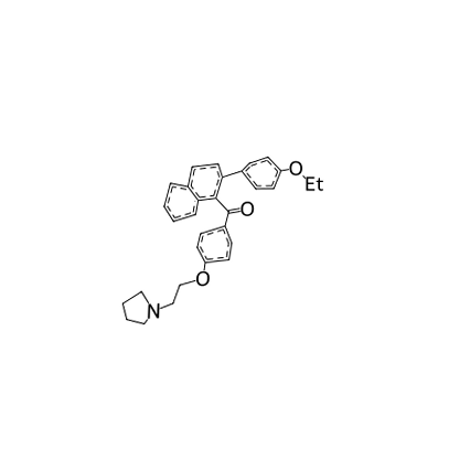 CCOc1ccc(-c2ccc3ccccc3c2C(=O)c2ccc(OCCN3CCCC3)cc2)cc1